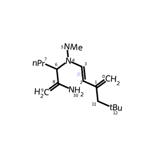 C=C(/C=C/N(NC)C(CCC)C(=C)N)CC(C)(C)C